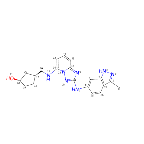 Cc1n[nH]c2cc(Nc3nc4cccc(NC[C@H]5CC[C@@H](O)C5)n4n3)ccc12